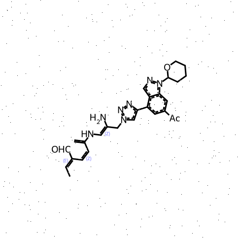 C=C(/C=C\C(C=O)=C/C)N/C=C(\N)Cn1cc(-c2cc(C(C)=O)cc3c2cnn3C2CCCCO2)nn1